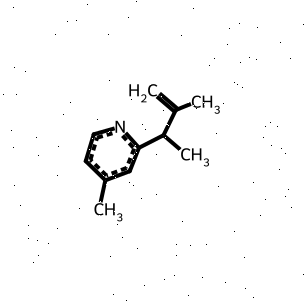 C=C(C)C(C)c1cc(C)ccn1